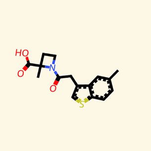 Cc1ccc2scc(CC(=O)N3CCC3(C)C(=O)O)c2c1